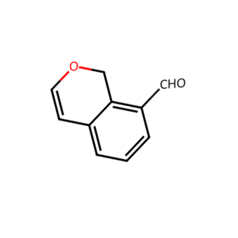 O=Cc1cccc2c1COC=C2